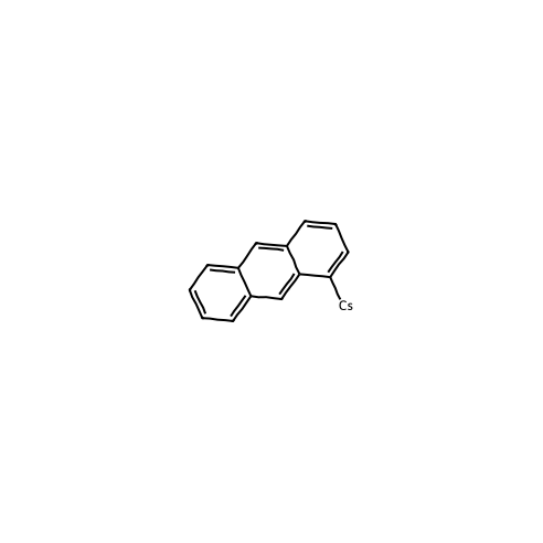 [Cs][c]1cccc2cc3ccccc3cc12